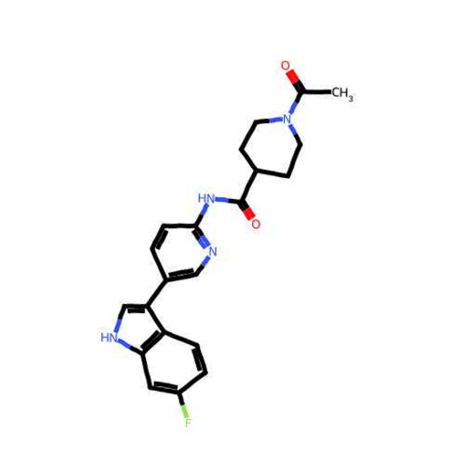 CC(=O)N1CCC(C(=O)Nc2ccc(-c3c[nH]c4cc(F)ccc34)cn2)CC1